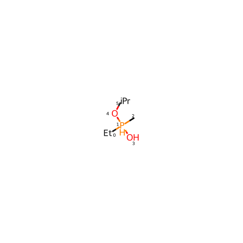 CC[PH](C)(O)OC(C)C